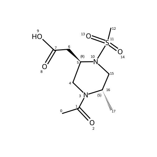 CC(=O)N1C[C@@H](CC(=O)O)N(S(C)(=O)=O)C[C@@H]1C